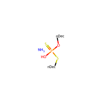 CCCCCCCCCCOP(O)(=S)SCCCCCCCCCC.N